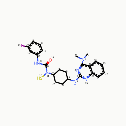 CN(C)c1nc(NC2CCC(N(S)C(=O)Nc3cccc(I)c3)CC2)nc2ccccc12